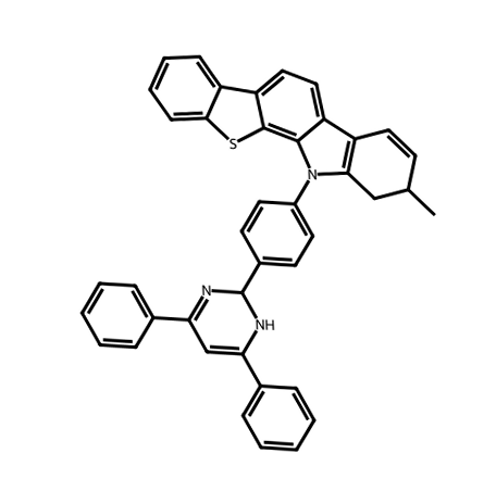 CC1C=Cc2c(n(-c3ccc(C4N=C(c5ccccc5)C=C(c5ccccc5)N4)cc3)c3c2ccc2c4ccccc4sc23)C1